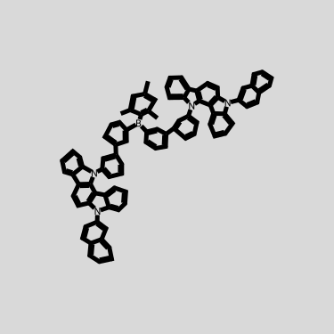 Cc1cc(C)c(B(c2cccc(-c3cccc(-n4c5ccccc5c5ccc6c(c7ccccc7n6-c6ccc7ccccc7c6)c54)c3)c2)c2cccc(-c3cccc(-n4c5ccccc5c5ccc6c(c7ccccc7n6-c6ccc7ccccc7c6)c54)c3)c2)c(C)c1